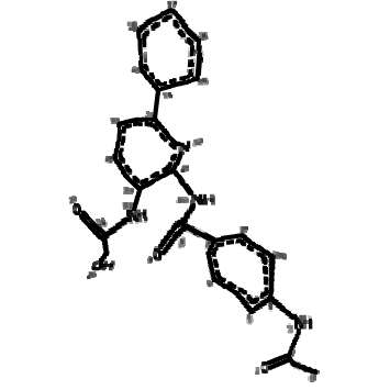 CC(=O)Nc1ccc(C(=O)Nc2nc(-c3ccccc3)ccc2NC(=O)O)cc1